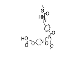 CCOC(=O)NN=Cc1ccc(C(=O)N(CCOC)CC(=O)N2CCC(OCC(=O)O)CC2)cc1